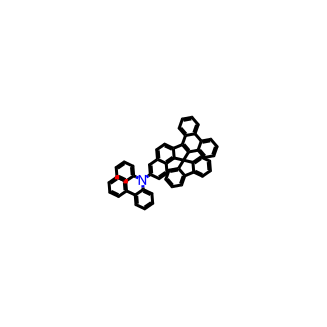 c1ccc(-c2ccccc2N(c2ccccc2)c2ccc3c4c(ccc3c2)-c2c(c3ccccc3c3ccccc23)C42c3ccccc3-c3ccccc32)cc1